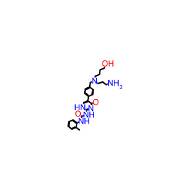 Cc1ccccc1NC(=O)Nc1nc(=O)c(-c2ccc(CN(CCCN)CCCCO)cc2)c[nH]1